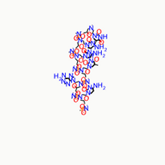 Cc1cn(C2CN(C)CC(COP(=O)(N(C)C)N3CC(COP(=O)(N(C)C)N4CC(COP(=O)(N(C)C)N5CC(COP(=O)(N(C)C)N6CC(COP(=O)(N(C)C)N7CC(COP(C)(=O)N(C)C)OC(n8ccc(N)nc8=O)C7)OC(n7cnc8c(N)ncnc87)C6)OC(n6cc(C)c(=O)[nH]c6=O)C5)OC(n5ccc(N)nc5=O)C4)OC(n4ccc(N)nc4=O)C3)O2)c(=O)[nH]c1=O